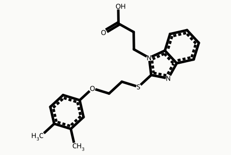 Cc1ccc(OCCSc2nc3ccccc3n2CCC(=O)O)cc1C